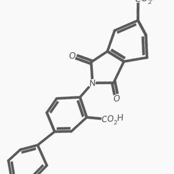 O=C(O)c1ccc2c(c1)C(=O)N(c1ccc(-c3ccccc3)cc1C(=O)O)C2=O